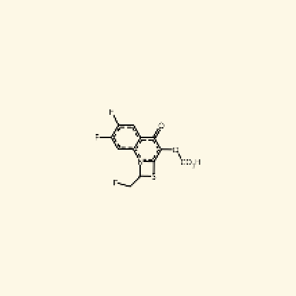 O=C(O)Oc1c2n(c3cc(F)c(F)cc3c1=O)C(CF)S2